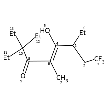 CCC(CC(F)(F)F)/C(O)=C(\C)C(=O)C(CC)(CC)CC